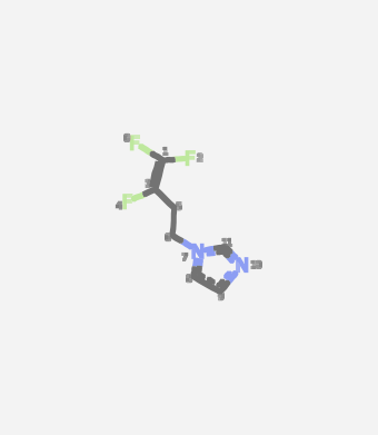 FC(F)=C(F)CCn1ccnc1